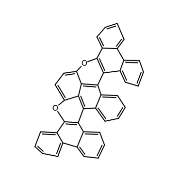 c1ccc2c3c4c(ccc5c4c(c2c1)-c1c(c2ccccc2c2ccccc12)O5)Oc1c-3c2ccccc2c2ccccc12